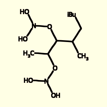 CCC(C)CC(C)C(ON(O)O)C(C)ON(O)O